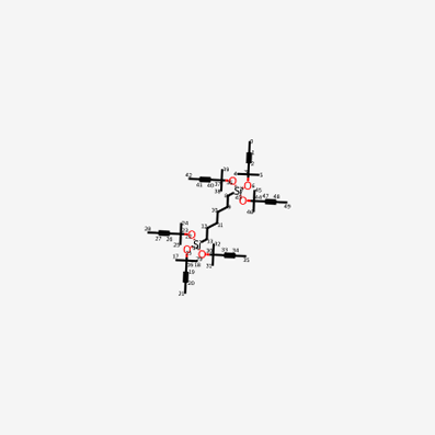 CC#CC(C)(C)O[Si](CCCCCC[Si](OC(C)(C)C#CC)(OC(C)(C)C#CC)OC(C)(C)C#CC)(OC(C)(C)C#CC)OC(C)(C)C#CC